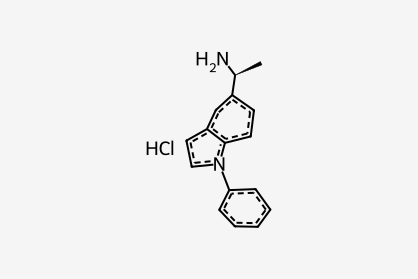 C[C@H](N)c1ccc2c(ccn2-c2ccccc2)c1.Cl